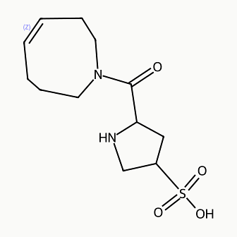 O=C(C1CC(S(=O)(=O)O)CN1)N1CC/C=C\CCC1